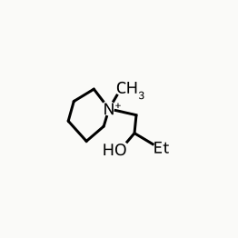 CCC(O)C[N+]1(C)CCCCC1